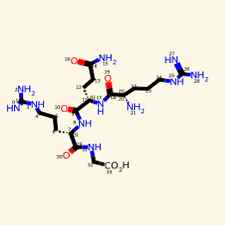 N=C(N)NCCC[C@H](NC(=O)[C@H](CCC(N)=O)NC(=O)[C@@H](N)CCCNC(=N)N)C(=O)NCC(=O)O